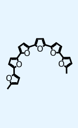 Cc1ccc(-c2ccc(-c3ccc(-c4ccc(-c5ccc(-c6ccc(C)o6)o5)o4)o3)o2)o1